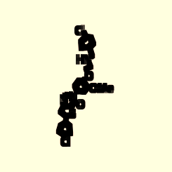 COc1cc(-n2cnc3c(c2=O)SC(c2ccc(Cl)cc2)C3)ccc1OCCNCc1ccc(Cl)cc1